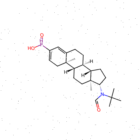 CC(C)(C)N(C=O)[C@H]1CC[C@H]2[C@@H]3CCC4=CC([PH](=O)O)=CC[C@]4(C)[C@H]3CC[C@]12C